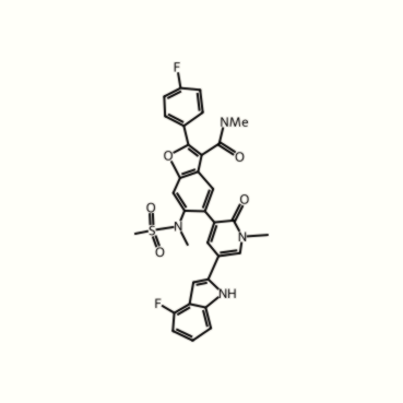 CNC(=O)c1c(-c2ccc(F)cc2)oc2cc(N(C)S(C)(=O)=O)c(-c3cc(-c4cc5c(F)cccc5[nH]4)cn(C)c3=O)cc12